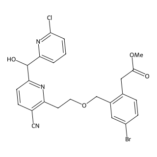 COC(=O)Cc1ccc(Br)cc1COCCc1nc(C(O)c2cccc(Cl)n2)ccc1C#N